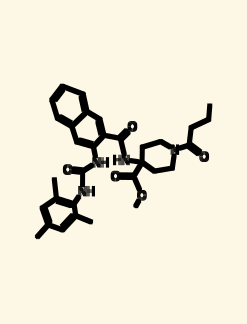 CCCC(=O)N1CCC(NC(=O)c2cc3ccccc3cc2NC(=O)Nc2c(C)cc(C)cc2C)(C(=O)OC)CC1